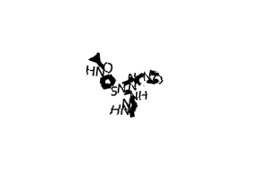 Cc1cc(NC2=CN(Sc3ccc(NC(=O)C4CC4)cc3)CC3=NC(CN4CCOCC4)=C[N+]23)n[nH]1